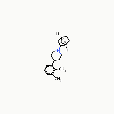 Cc1cccc(C2CCN(C3C[C@H]4CC[C@H]3C4)CC2)c1C